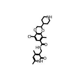 Cc1cc(C)c(CNC(=O)c2cc(Cl)c3c(c2C)OC(C2CCNCC2)CO3)c(=O)[nH]1